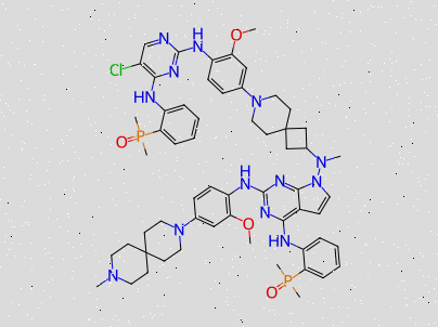 COc1cc(N2CCC3(CC2)CC(N(C)n2ccc4c(Nc5ccccc5P(C)(C)=O)nc(Nc5ccc(N6CCC7(CCN(C)CC7)CC6)cc5OC)nc42)C3)ccc1Nc1ncc(Cl)c(Nc2ccccc2P(C)(C)=O)n1